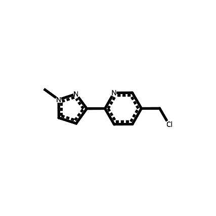 Cn1ccc(-c2ccc(CCl)cn2)n1